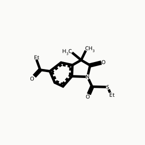 CCSC(=O)N1C(=O)C(C)(C)c2cc(C(=O)CC)ccc21